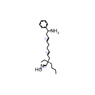 CCCCC(/C=N/O)(CC)C/C=C/CC/C=C/CC(N)c1ccccc1